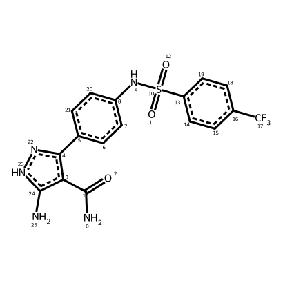 NC(=O)c1c(-c2ccc(NS(=O)(=O)c3ccc(C(F)(F)F)cc3)cc2)n[nH]c1N